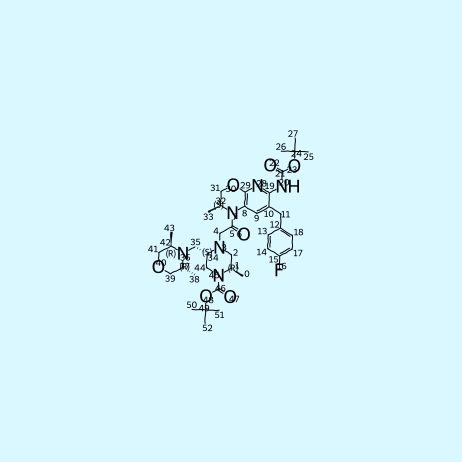 C[C@@H]1CN(CC(=O)N2c3cc(Cc4ccc(F)cc4)c(NC(=O)OC(C)(C)C)nc3OC[C@@H]2C)[C@@H](CN2[C@H](C)COC[C@H]2C)CN1C(=O)OC(C)(C)C